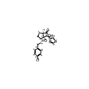 C[C@@]1(C(=O)O)CC[C@@H](CCc2ccc(Cl)cc2)[C@]1(O)Cn1cncn1